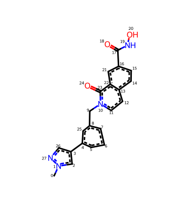 Cn1cc(-c2cccc(Cn3ccc4ccc(C(=O)NO)cc4c3=O)c2)cn1